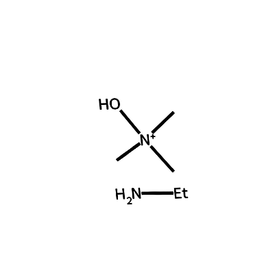 CCN.C[N+](C)(C)O